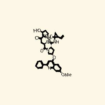 C=CC1CC1(NC(=O)[C@@H]1C[C@@H](Oc2cc(-c3ccccc3)nc3cc(OC)ccc23)CN1C(=O)[C@@H](CC(=O)C1NCCC1O)C(C)(C)C)C(=O)O